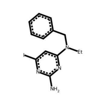 CCN(Cc1ccccc1)c1cc(I)nc(N)n1